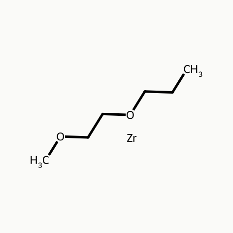 CCCOCCOC.[Zr]